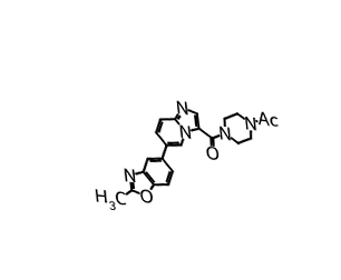 CC(=O)N1CCN(C(=O)c2cnc3ccc(-c4ccc5oc(C)nc5c4)cn23)CC1